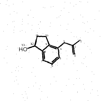 C=C(C)Cc1cccc2c1CCC2O